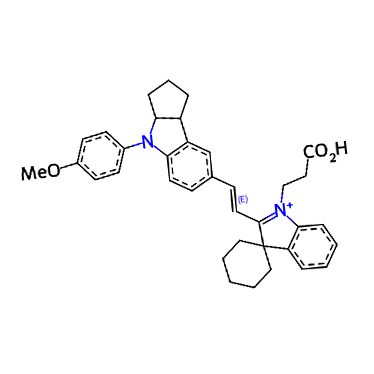 COc1ccc(N2c3ccc(/C=C/C4=[N+](CCC(=O)O)c5ccccc5C45CCCCC5)cc3C3CCCC32)cc1